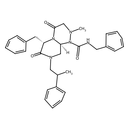 CC(CN1C[C@H]2N(C(=O)CN(C)N2C(=O)NCc2ccccc2)[C@@H](Cc2ccccc2)C1=O)c1ccccc1